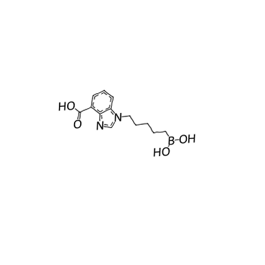 O=C(O)c1cccc2c1ncn2CCCCCB(O)O